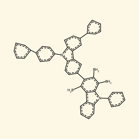 Bc1c(-c2ccc3c(c2)c2cc(-c4ccccc4)ccc2n3-c2ccc(-c3ccccc3)cc2)c(B)c2c3ccccc3n(-c3ccccc3)c2c1B